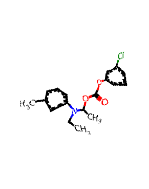 CCN(c1cccc(C)c1)C(C)OC(=O)Oc1cccc(Cl)c1